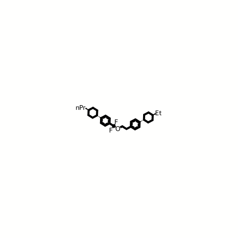 CCC[C@H]1CC[C@H](c2ccc(C(F)(F)OCCc3ccc([C@H]4CC[C@H](CC)CC4)cc3)cc2)CC1